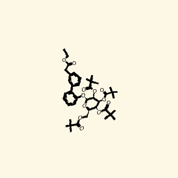 CCOC(=O)Cc1cccc(-c2c[c]ccc2O[C@H]2O[C@H](COC(=O)C(C)(C)C)[C@@H](OC(=O)C(C)(C)C)[C@H](OC(=O)C(C)(C)C)[C@@H]2OC(=O)C(C)(C)C)c1